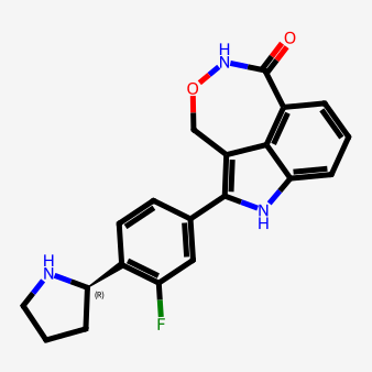 O=C1NOCc2c(-c3ccc([C@H]4CCCN4)c(F)c3)[nH]c3cccc1c23